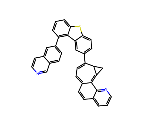 C1=C(c2ccc3sc4cccc(-c5ccc6cnccc6c5)c4c3c2)C2CC2=c2c(ccc3cccnc23)=C1